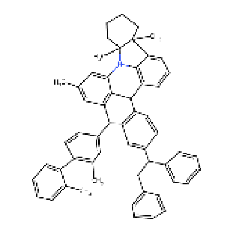 Cc1cc2c3c(c1)N1c4c(cccc4C4(C)CCCCC14C)C3c1ccc(C(Cc3ccccc3)c3ccccc3)cc1C2c1ccc(-c2ccccc2C)c(C)c1